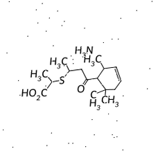 CC(CC(=O)C1C(C)C=CCC1(C)C)SC(C)C(=O)O.N